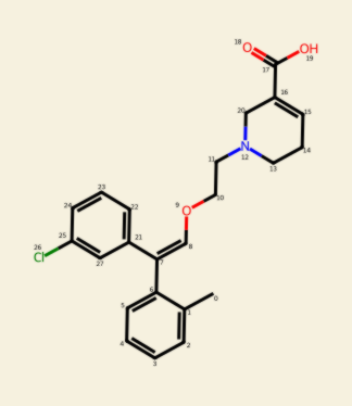 Cc1ccccc1C(=COCCN1CCC=C(C(=O)O)C1)c1cccc(Cl)c1